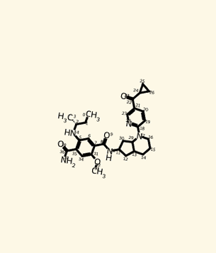 CC[C@@H](C)Nc1cc(C(=O)NC2CC3CCCN(c4ccc(C(=O)C5CC5)cn4)C3C2)c(OC)cc1C(N)=O